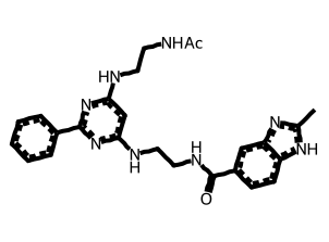 CC(=O)NCCNc1cc(NCCNC(=O)c2ccc3[nH]c(C)nc3c2)nc(-c2ccccc2)n1